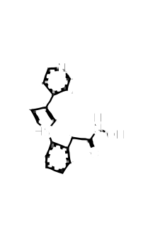 O=C(Cc1ccccc1[SH]1C=CC(c2ccncc2)=C1)NO